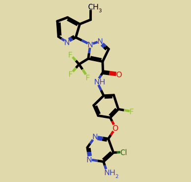 CCc1cccnc1-n1ncc(C(=O)Nc2ccc(Oc3ncnc(N)c3Cl)c(F)c2)c1C(F)(F)F